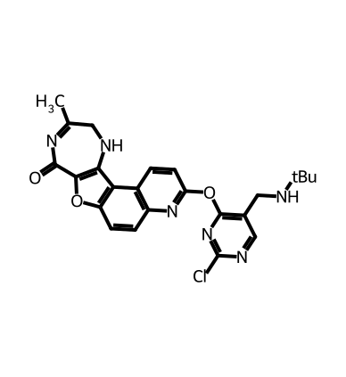 CC1=NC(=O)c2oc3ccc4nc(Oc5nc(Cl)ncc5CNC(C)(C)C)ccc4c3c2NC1